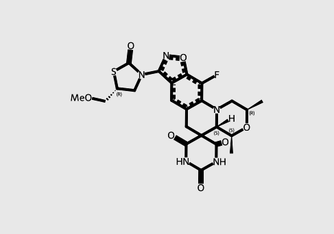 COC[C@H]1CN(c2noc3c(F)c4c(cc23)CC2(C(=O)NC(=O)NC2=O)[C@H]2[C@H](C)O[C@H](C)CN42)C(=O)S1